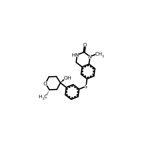 C[C@H]1C[C@@](O)(c2cccc(Sc3ccc4c(c3)CNC(=O)N4C)c2)CCO1